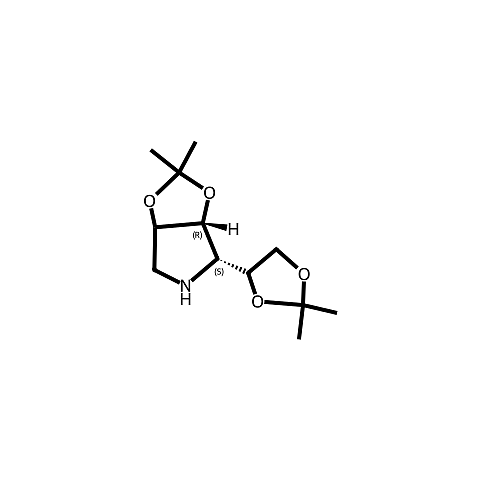 CC1(C)OCC([C@@H]2NCC3OC(C)(C)O[C@@H]32)O1